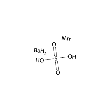 O=S(=O)(O)O.[BaH2].[Mn]